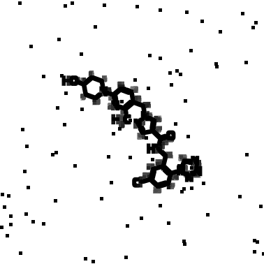 Cc1nc(N2CCC(O)CC2)ccc1Cn1cc(C(=O)NCc2cc(Cl)ccc2-n2cnnn2)cn1